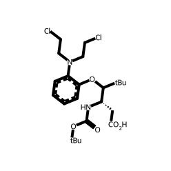 CC(C)(C)OC(=O)N[C@@H](CC(=O)O)C(Oc1ccccc1N(CCCl)CCCl)C(C)(C)C